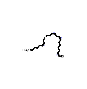 CC/C=C\CCCC/C=C\C/C=C\CC=C=C/C=C\CCCCC(=O)O